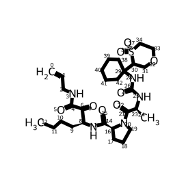 C=CCNC(=O)C(=O)[C@H](CCCC)NC(=O)[C@@H]1CCCN1C(=O)[C@H](C)NC(=O)NC1(C2COCCS2(=O)=O)CCCCC1